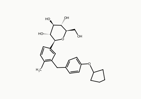 Cc1ccc([C@@H]2O[C@H](CO)[C@@H](O)[C@H](O)[C@H]2O)cc1Cc1ccc(OC2CCCC2)cc1